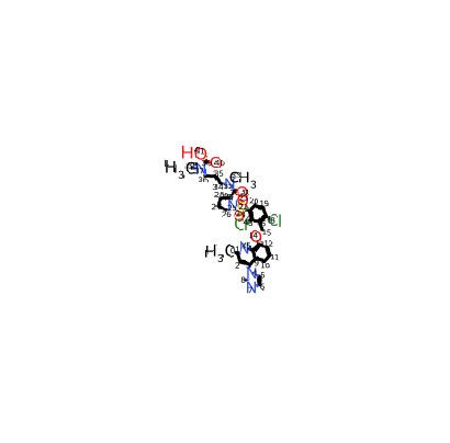 Cc1cc(-n2ccnc2)c2cccc(OCc3c(Cl)ccc(S(=O)(=O)N4CCC[C@H]4C(=O)N(C)CCCN(C)C(=O)O)c3Cl)c2n1